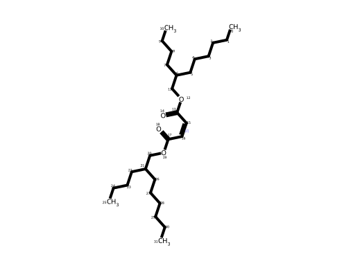 CCCCCCC(CCCC)COC(=O)/C=C\C(=O)OCC(CCCC)CCCCCC